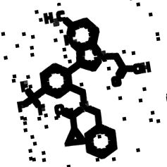 Cc1ccc2c(n1)c(-c1ccc(C(F)(F)F)cc1CN(Cc1ccccc1)C(=O)C1CC1)cn2CC(=O)O